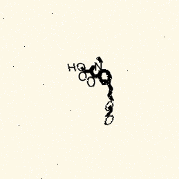 CCn1cc(C(=O)O)c(=O)c2cc(CCCOCC=O)ccc21